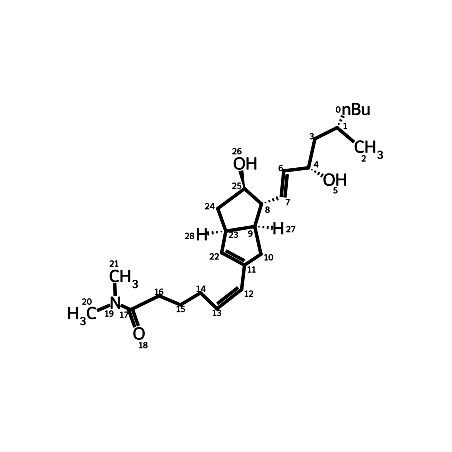 CCCC[C@H](C)C[C@H](O)/C=C/[C@@H]1[C@H]2CC(/C=C\CCCC(=O)N(C)C)=C[C@H]2C[C@H]1O